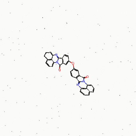 O=C1c2cc(Oc3ccc4c(c3)C(=O)N3C4=Nc4cccc5cccc3c45)ccc2C2=NC3=CCCc4cccc(c43)N12